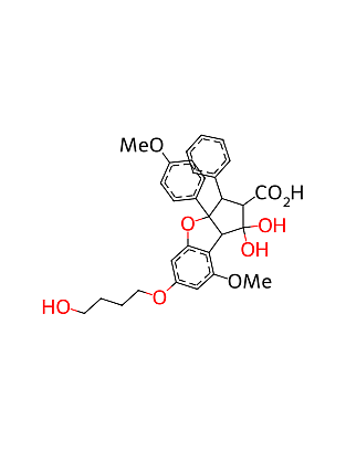 COc1ccc(C23Oc4cc(OCCCCO)cc(OC)c4C2C(O)(O)C(C(=O)O)C3c2ccccc2)cc1